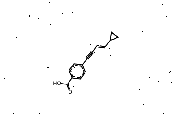 O=C(O)c1ccc(C#C/C=C/C2CC2)cc1